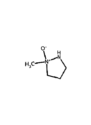 C[N+]1([O-])CCCN1